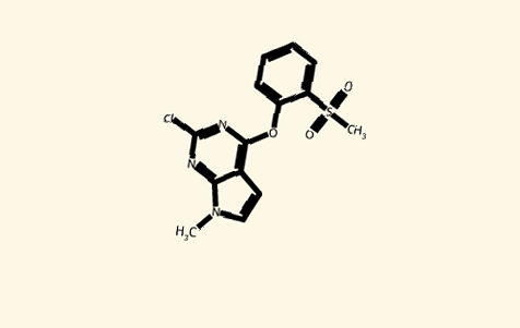 Cn1ccc2c(Oc3ccccc3S(C)(=O)=O)nc(Cl)nc21